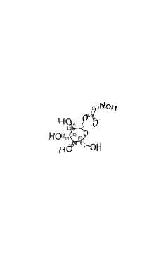 CCCCCCCCCC(=O)OC1O[C@H](CO)[C@@H](O)[C@H](O)[C@H]1O